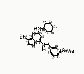 CCc1cnn2c(NCc3ccc[n+](OC)c3)cc(NC3CCCCC3)nc12